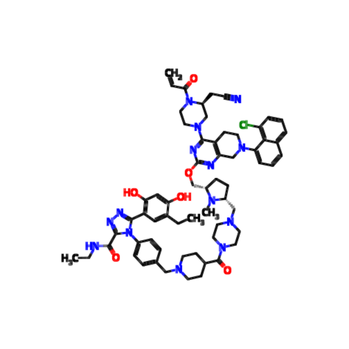 C=CC(=O)N1CCN(c2nc(OC[C@@H]3CC[C@H](CN4CCN(C(=O)C5CCN(Cc6ccc(-n7c(C(=O)NCC)nnc7-c7cc(CC)c(O)cc7O)cc6)CC5)CC4)N3C)nc3c2CCN(c2cccc4cccc(Cl)c24)C3)C[C@@H]1CC#N